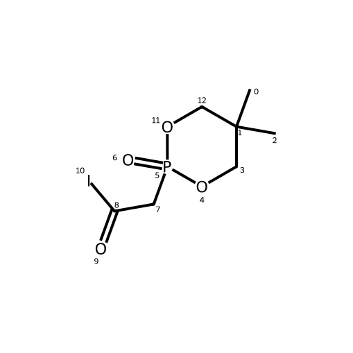 CC1(C)COP(=O)(CC(=O)I)OC1